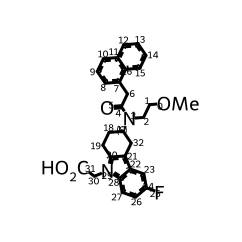 COCCN(C(=O)Cc1cccc2ccccc12)[C@H]1CCc2c(c3cc(F)ccc3n2CC(=O)O)C1